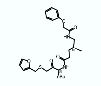 CCCC[C@H](NC(=O)CC[C@H](C)CNC(=O)COc1ccccc1)C(=O)CSCc1ccco1